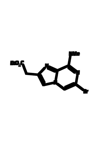 CCOC(=O)Cc1cn2cc(Br)nc(NC)c2n1